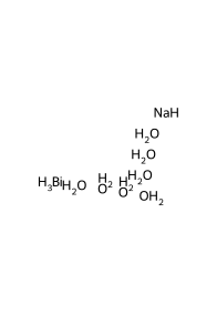 O.O.O.O.O.O.O.[BiH3].[NaH]